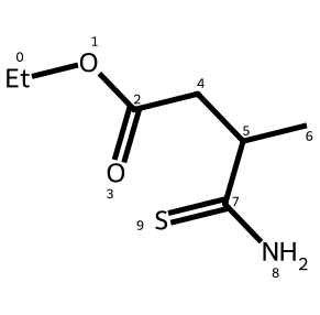 CCOC(=O)CC(C)C(N)=S